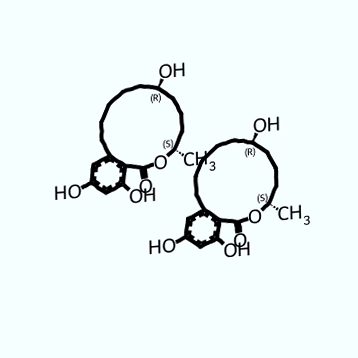 C[C@H]1CCC[C@H](O)CCCCCc2cc(O)cc(O)c2C(=O)O1.C[C@H]1CCC[C@H](O)CCCCCc2cc(O)cc(O)c2C(=O)O1